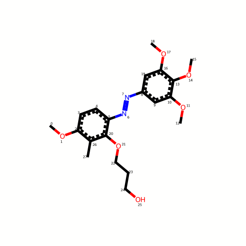 COc1ccc(/N=N/c2cc(OC)c(OC)c(OC)c2)c(OCCCO)c1C